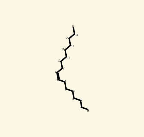 CCCCCCC/C=C\CCCCCCCC